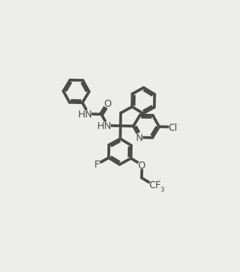 O=C(Nc1ccccc1)NC(Cc1ccccc1)(c1cc(F)cc(OCC(F)(F)F)c1)c1ccc(Cl)cn1